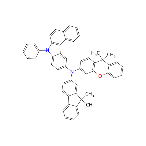 CC1(C)c2ccccc2Oc2cc(N(c3ccc4c(c3)C(C)(C)c3ccccc3-4)c3ccc4c(c3)c3c5ccccc5ccc3n4-c3ccccc3)ccc21